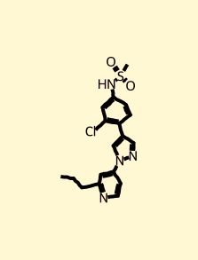 CCCc1cc(-n2cc(-c3ccc(NS(C)(=O)=O)cc3Cl)cn2)ccn1